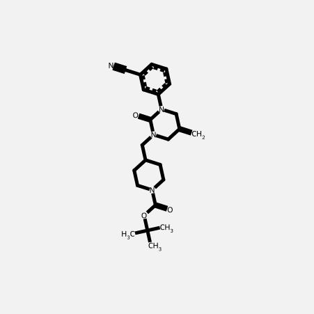 C=C1CN(CC2CCN(C(=O)OC(C)(C)C)CC2)C(=O)N(c2cccc(C#N)c2)C1